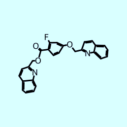 O=C(OCc1ccc2ccccc2n1)c1ccc(OCc2ccc3ccccc3n2)cc1F